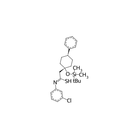 CC(C)(C)[Si](C)(C)O[C@]1(CC(S)=Nc2cccc(Cl)c2)CC[C@@H](c2ccccc2)CC1